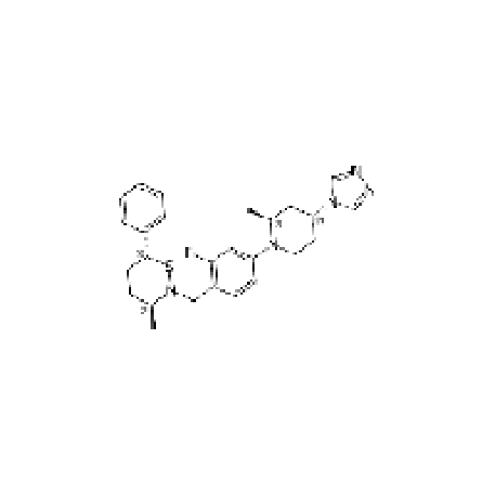 C[C@H]1CC[C@H](c2ccccc2)SN1Cc1ccc(N2CC[C@@H](n3cnnc3)C[C@@H]2C)cc1F